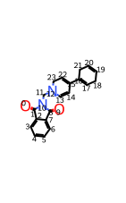 O=C1c2ccccc2C(=O)N1CN1C=CC(C2=CCC=CC2)=CC1